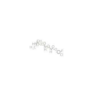 CC1CC(OCC(=O)NC23CC(C2)C(NC(=O)COc2ccc(Cl)c(F)c2)C3)N(C)N1